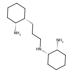 N[C@@H]1CCCC[C@@H]1CCCN[C@H]1CCCC[C@H]1N